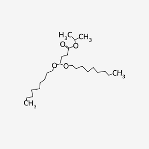 CCCCCCCCCOC(CCC(=O)OC(C)C)OCCCCCCCCC